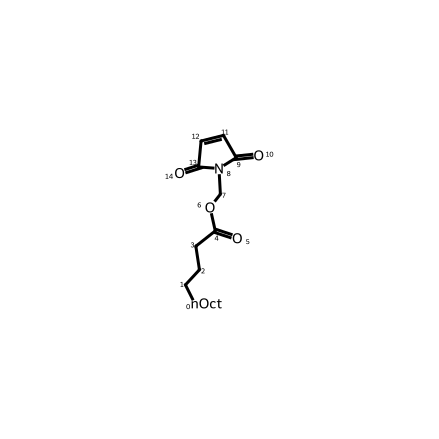 CCCCCCCCCCCC(=O)OCN1C(=O)C=CC1=O